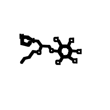 CCCCOC(COc1c(Cl)c(Cl)c(Cl)c(Cl)c1Cl)Cn1ccnc1